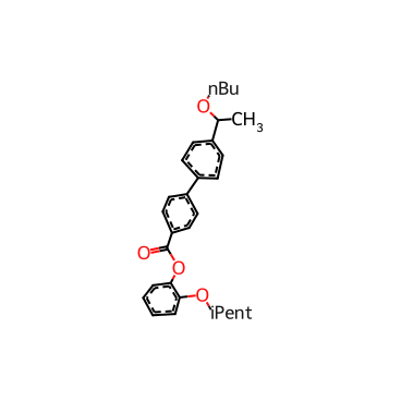 CCCCOC(C)c1ccc(-c2ccc(C(=O)Oc3ccccc3OC(C)CCC)cc2)cc1